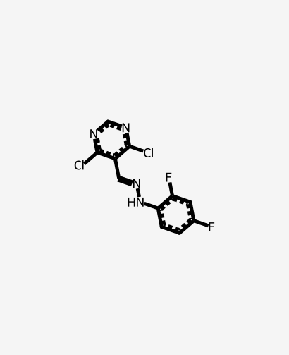 Fc1ccc(NN=Cc2c(Cl)ncnc2Cl)c(F)c1